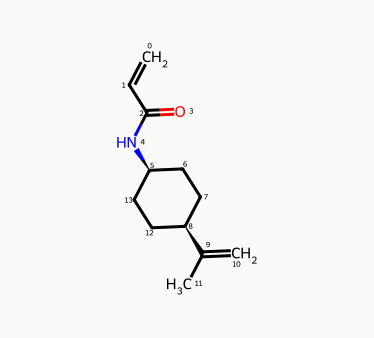 C=CC(=O)N[C@H]1CC[C@@H](C(=C)C)CC1